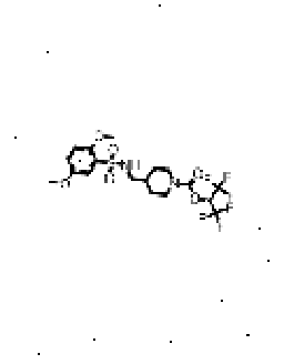 COc1ccc(OC)c(S(=O)(=O)NCC2CCN(C(=O)OC(C(F)(F)F)C(F)(F)F)CC2)c1